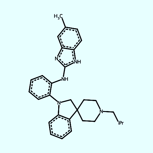 Cc1ccc2[nH]c(Nc3ccccc3N3CC4(CCN(CC(C)C)CC4)c4ccccc43)nc2c1